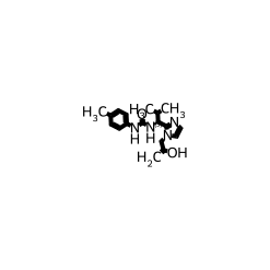 C=C(O)Cn1ccnc1[C@@H](NC(=O)Nc1ccc(C)cc1)C(C)C